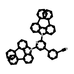 N#Cc1cccc(-c2cc(-n3c4cccc(-c5ccccc5)c4c4c(-c5ccccc5)cccc43)nc(-n3c4cccc(-c5ccccc5)c4c4c(-c5ccccc5)cccc43)c2)c1